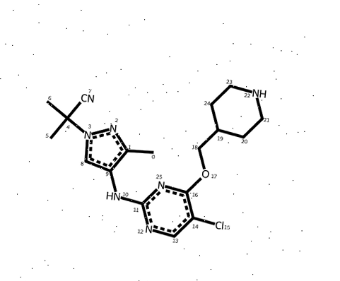 Cc1nn(C(C)(C)C#N)cc1Nc1ncc(Cl)c(OCC2CCNCC2)n1